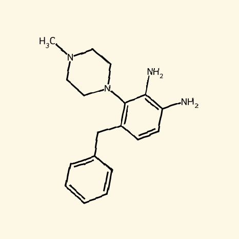 CN1CCN(c2c(Cc3ccccc3)ccc(N)c2N)CC1